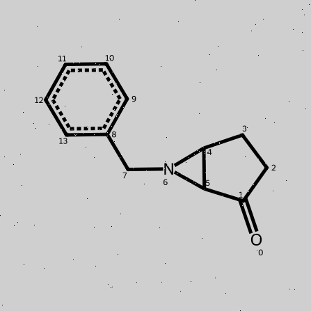 O=C1CCC2C1N2Cc1ccccc1